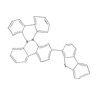 c1ccc2c(c1)B1c3ccccc3-c3ccc(-c4cccc5c4sc4ccccc45)cc3N1c1ccccc1-2